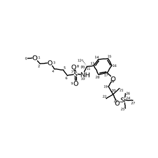 COCOCCCS(=O)(=O)N[C@H](C)c1cccc(OCC(C)(C)O[Si](C)(C)C)c1